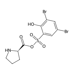 O=C(OS(=O)(=O)c1cc(Br)cc(Br)c1O)[C@H]1CCCN1